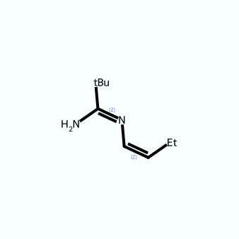 CC/C=C\N=C(/N)C(C)(C)C